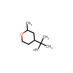 CCCC(C)(C)C1CCOC(C)C1